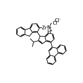 CC(C)C1=Cc2c(-c3cc4ccccc4c4ccccc34)cccc2C1c1[c]([Zr+2][SiH](C)C)ccc2c1Cc1ccccc1-2.[Cl-].[Cl-]